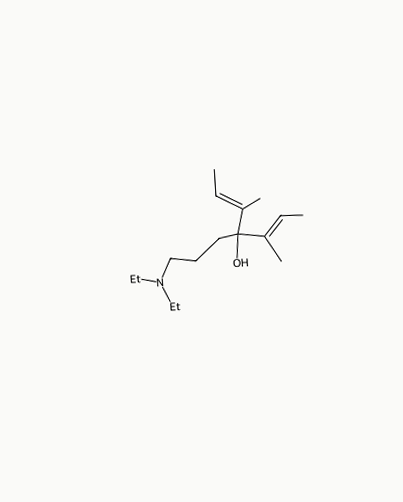 CC=C(C)C(O)(CCCN(CC)CC)C(C)=CC